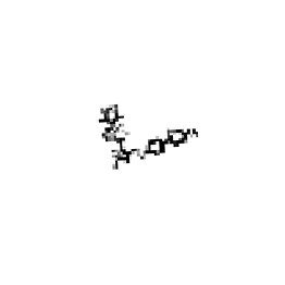 COc1ccc(-c2ccc(OCc3cc(C)oc3C(=O)NS(=O)(=O)c3c(C)noc3C)cc2)nc1